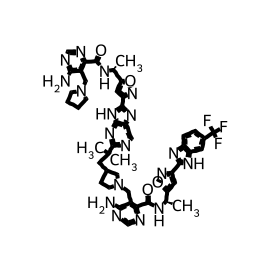 C[C@@H](NC(=O)c1ncnc(N)c1CN1CCC(CC(C)(C)c2ncc3nc(-c4cc([C@@H](C)NC(=O)c5ncnc(N)c5CN5CCCC5)on4)[nH]c3n2)C1)c1cc(-c2nc3ccc(C(F)(F)F)cc3[nH]2)no1